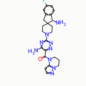 Nc1nc(N2CCC3(CC2)Cc2cc(F)ccc2[C@H]3N)nnc1C(=O)N1CCCn2nccc21